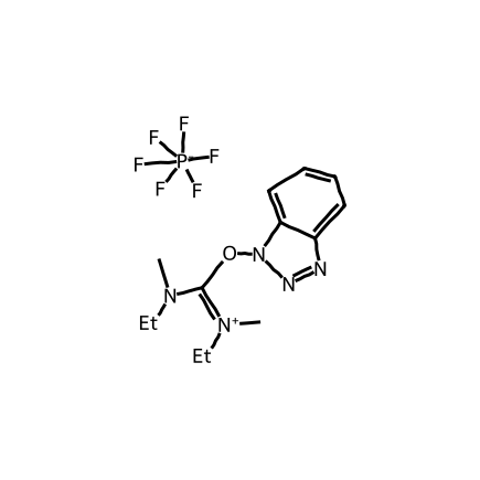 CCN(C)C(On1nnc2ccccc21)=[N+](C)CC.F[P-](F)(F)(F)(F)F